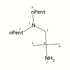 CCCCCN(CCCCC)CC(C)(C)N